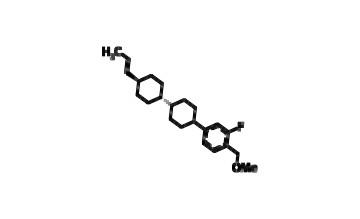 C/C=C/[C@H]1CC[C@H](C2CCC(c3ccc(COC)c(F)c3)CC2)CC1